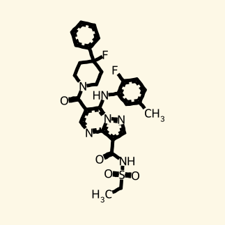 CCS(=O)(=O)NC(=O)c1cnn2c(Nc3cc(C)ccc3F)c(C(=O)N3CCC(F)(c4ccccc4)CC3)cnc12